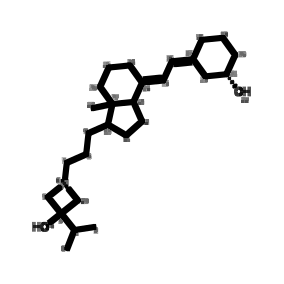 CC(C)C1(O)CN(CCCC2CCC3/C(=C/C=C4/CCC[C@H](O)C4)CCCC23C)C1